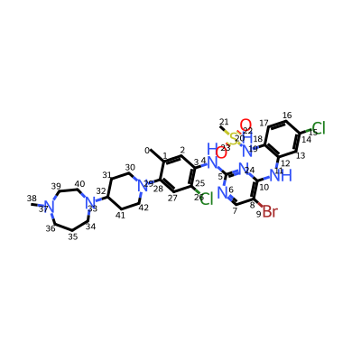 Cc1cc(Nc2ncc(Br)c(Nc3cc(Cl)ccc3NS(C)(=O)=O)n2)c(Cl)cc1N1CCC(N2CCCN(C)CC2)CC1